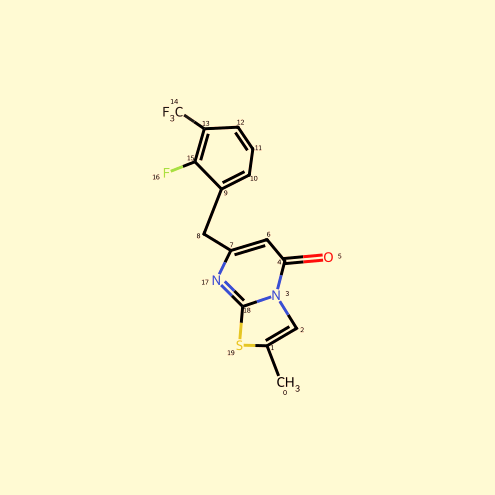 Cc1cn2c(=O)cc(Cc3cccc(C(F)(F)F)c3F)nc2s1